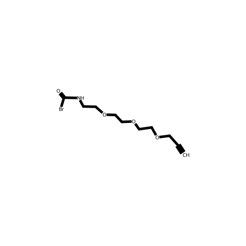 C#CCOCCOCCOCCNC(=O)Br